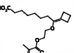 C=C(C)C(=O)OCCOC(CCCCCCC(=O)O)=C1CCC1